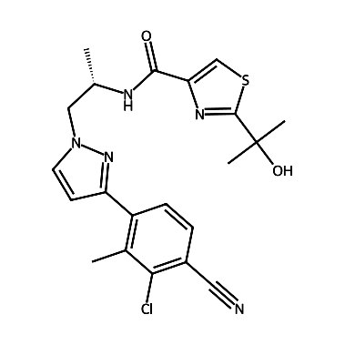 Cc1c(-c2ccn(C[C@H](C)NC(=O)c3csc(C(C)(C)O)n3)n2)ccc(C#N)c1Cl